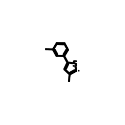 Cc1[c]sc(-c2cccc(C)c2)c1